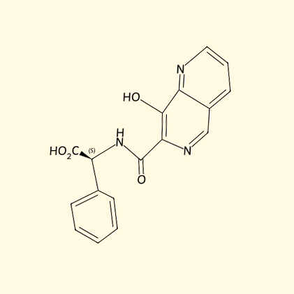 O=C(N[C@H](C(=O)O)c1ccccc1)c1ncc2cccnc2c1O